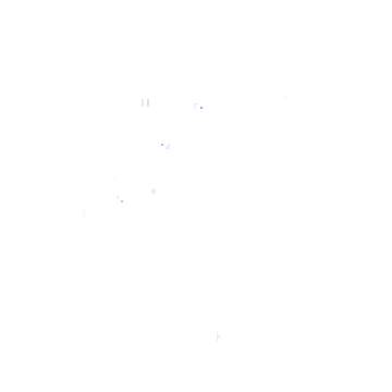 C=CCOC(=O)N(C)Cc1cc(NC(=O)[C@H](C)NC(=O)OCC2c3ccccc3-c3ccccc32)ccc1COC(=O)Oc1ccc([N+](=O)[O-])cc1